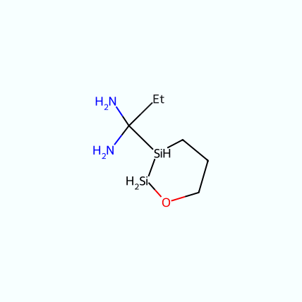 CCC(N)(N)[SiH]1CCCO[SiH2]1